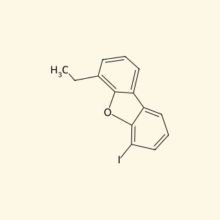 CCc1cccc2c1oc1c(I)cccc12